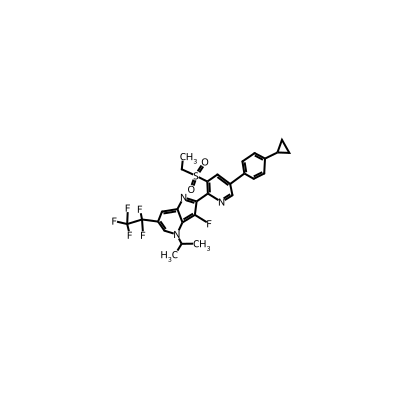 CCS(=O)(=O)c1cc(-c2ccc(C3CC3)cc2)cnc1-c1nc2cc(C(F)(F)C(F)(F)F)cn(C(C)C)c-2c1F